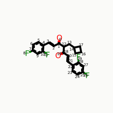 O=C(C=Cc1ccc(F)cc1F)C(CC1CCC1)C(=O)C=Cc1ccc(F)cc1F